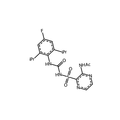 CC(=O)Nc1nccnc1S(=O)(=O)NC(=O)Nc1c(C(C)C)cc(F)cc1C(C)C